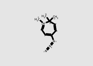 C[N+]1=CC=C(N=[N+]=[N-])C=CC1(C)C